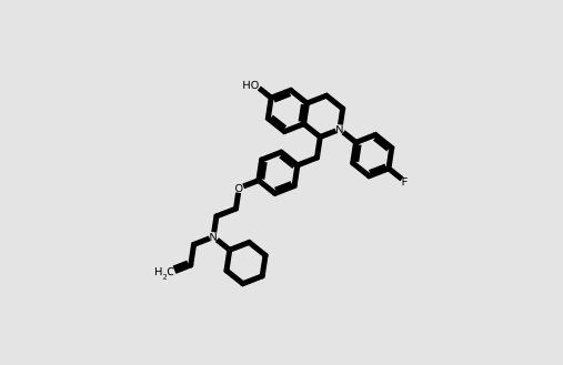 C=CCN(CCOc1ccc(CC2c3ccc(O)cc3CCN2c2ccc(F)cc2)cc1)C1CCCCC1